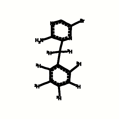 [2H]c1c([2H])c([2H])c(C([2H])([2H])c2nc(Br)cnc2N)c([2H])c1[2H]